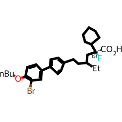 CCCCOc1ccc(-c2ccc(CCC(CC)C[C@@](F)(C(=O)O)C3CCCCC3)cc2)cc1Br